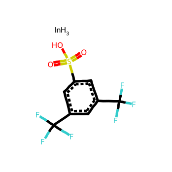 O=S(=O)(O)c1cc(C(F)(F)F)cc(C(F)(F)F)c1.[InH3]